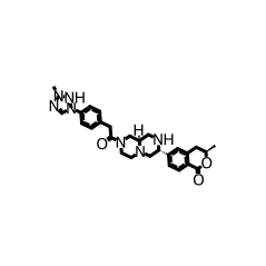 C[C@@H]1Cc2cc([C@@H]3CN4CCN(C(=O)Cc5ccc(N6C=NN(C)N6)cc5)C[C@H]4CN3)ccc2C(=O)O1